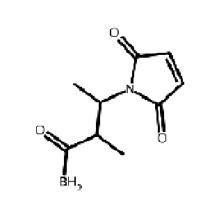 BC(=O)C(C)C(C)N1C(=O)C=CC1=O